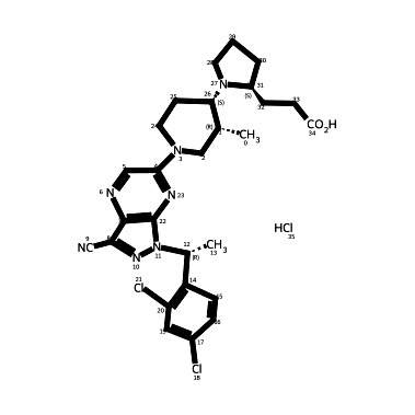 C[C@@H]1CN(c2cnc3c(C#N)nn([C@H](C)c4ccc(Cl)cc4Cl)c3n2)CC[C@@H]1N1CCC[C@H]1CCC(=O)O.Cl